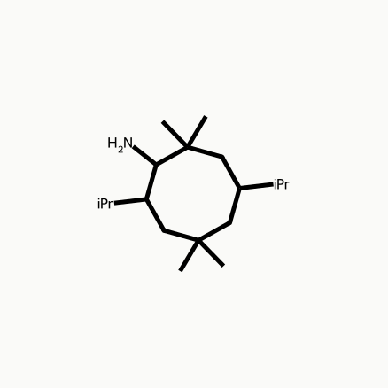 CC(C)C1CC(C)(C)CC(C(C)C)C(N)C(C)(C)C1